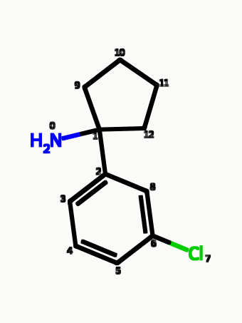 NC1(c2cccc(Cl)c2)CCCC1